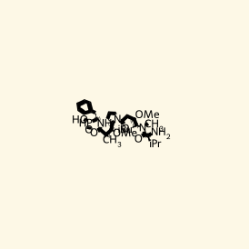 CC[C@H](C)[C@@H]([C@@H](CC(=O)N1CCC[C@H]1[C@H](OC)[C@@H](C)C(=O)N[C@@H](Cc1ccccc1)[PH](=O)O)OC)N(C)C(=O)[C@@H](N)C(C)C